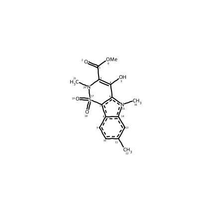 COC(=O)C1=C(O)c2c(c3ccc(C)cc3n2C)S(=O)(=O)N1C